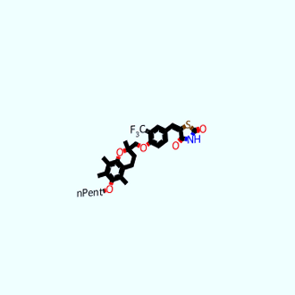 CCCCCOc1c(C)c(C)c2c(c1C)CCC(C)(COc1ccc(/C=C3/SC(=O)NC3=O)cc1C(F)(F)F)O2